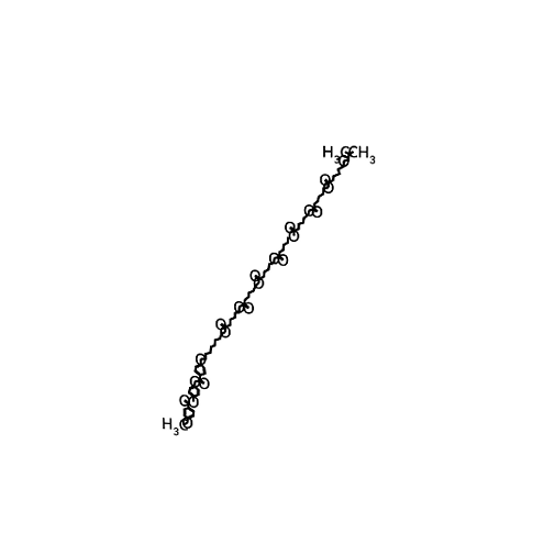 COc1ccc(C(=O)Oc2ccc(OC(=O)c3ccc(OCCCCCCCCOC(=O)CCCCCOC(=O)CCCCCOC(=O)CCCCCOC(=O)CCCCCOC(=O)CCCCCOC(=O)CCCCCOC(=O)CCCCCOCC(C)C)cc3)cc2)cc1